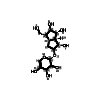 OC[C@@H]1[C@@H](O)[C@H](O)[C@H]2[C@H](O)[C@@H](O[C@H]3OC=C(O)[C@H](O)C3O)CN21